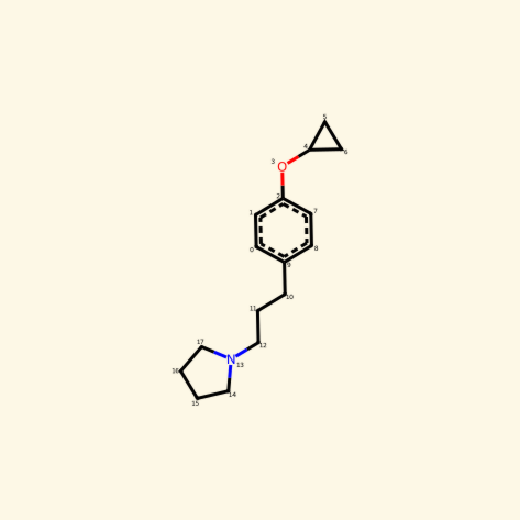 c1cc(OC2CC2)ccc1CCCN1CCCC1